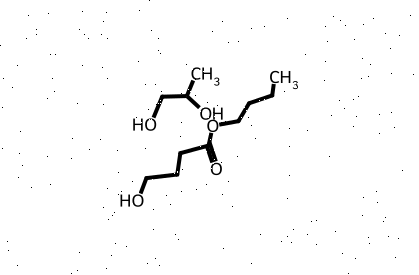 CC(O)CO.CCCCOC(=O)CCCO